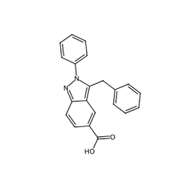 O=C(O)c1ccc2nn(-c3ccccc3)c(Cc3ccccc3)c2c1